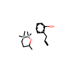 C=CCc1ccccc1O.CC1CC[Si](C)(C)[Si](C)(C)O1